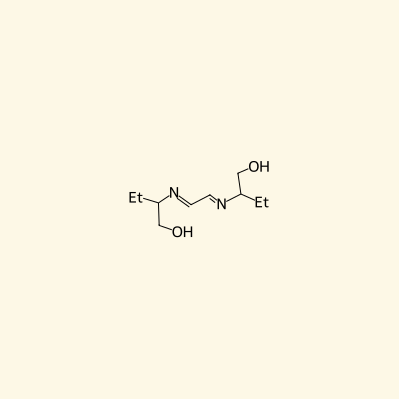 CCC(CO)N=CC=NC(CC)CO